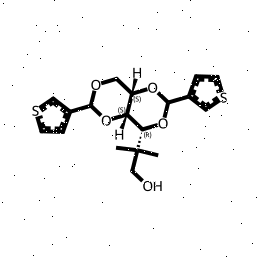 CC(C)(CO)[C@H]1OC(c2ccsc2)O[C@H]2COC(c3ccsc3)O[C@H]21